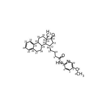 COc1ccc(NC(=O)CCC[C@@H]2CC(=O)[C@@]3(C)CCC4c5ccccc5CCC4C23)nc1